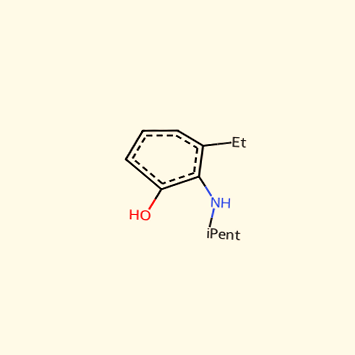 CCCC(C)Nc1c(O)cccc1CC